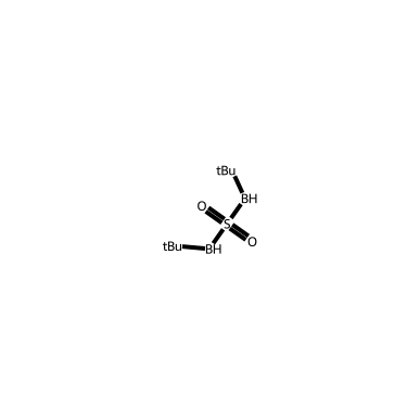 CC(C)(C)BS(=O)(=O)BC(C)(C)C